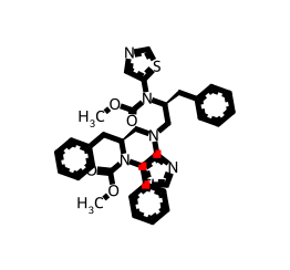 COC(=O)N(c1cncs1)[C@@H](Cc1ccccc1)CN(CCc1ccccc1)C[C@H](Cc1ccccc1)N(C(=O)OC)c1cncs1